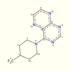 FC(F)(F)C1CCN(c2ncnc3nccnc23)CC1